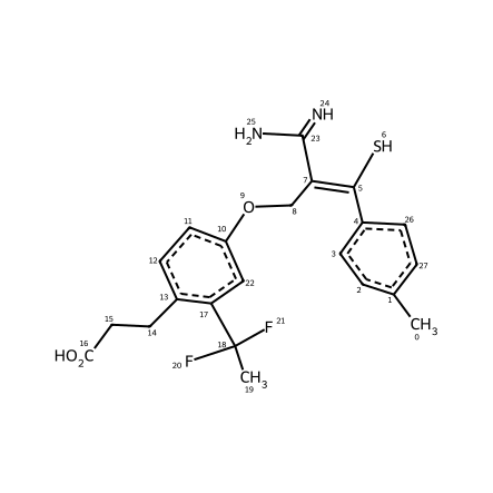 Cc1ccc(/C(S)=C(\COc2ccc(CCC(=O)O)c(C(C)(F)F)c2)C(=N)N)cc1